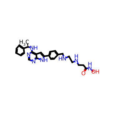 C[C@@H](Nc1ncnc2[nH]c(-c3ccc(CNCCNCCC(=O)NO)cc3)cc12)c1ccccc1